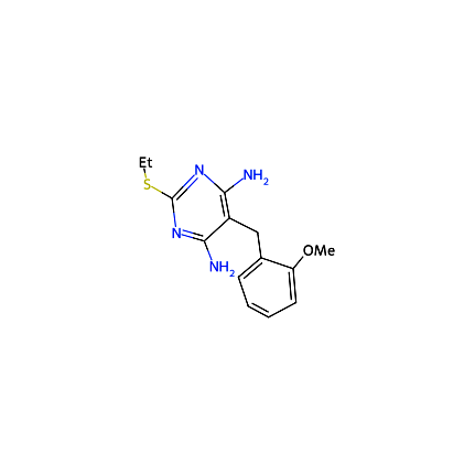 CCSc1nc(N)c(Cc2ccccc2OC)c(N)n1